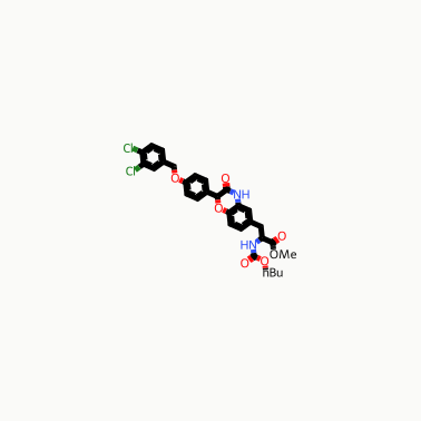 CCCCOC(=O)NC(Cc1ccc2c(c1)NC(=O)C(c1ccc(OCc3ccc(Cl)c(Cl)c3)cc1)O2)C(=O)OC